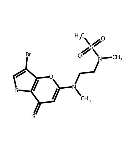 CN(CCN(C)S(C)(=O)=O)c1cc(=S)c2scc(Br)c2o1